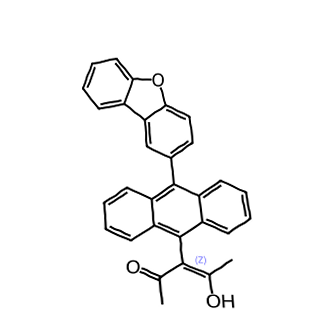 CC(=O)/C(=C(/C)O)c1c2ccccc2c(-c2ccc3oc4ccccc4c3c2)c2ccccc12